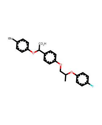 CC(COc1ccc(C(Oc2ccc(C(C)(C)C)cc2)C(=O)O)cc1)Oc1ccc(F)cc1